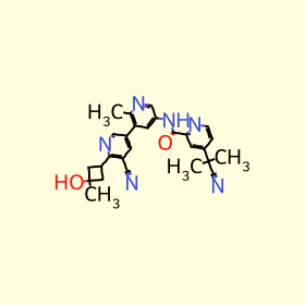 Cc1ncc(NC(=O)c2cc(C(C)(C)C#N)ccn2)cc1-c1cnc(C2CC(C)(O)C2)c(C#N)c1